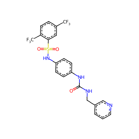 O=C(NCc1cccnc1)Nc1ccc(NS(=O)(=O)c2cc(C(F)(F)F)ccc2C(F)(F)F)cc1